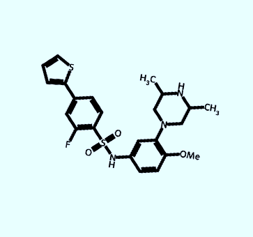 COc1ccc(NS(=O)(=O)c2ccc(-c3cccs3)cc2F)cc1N1CC(C)NC(C)C1